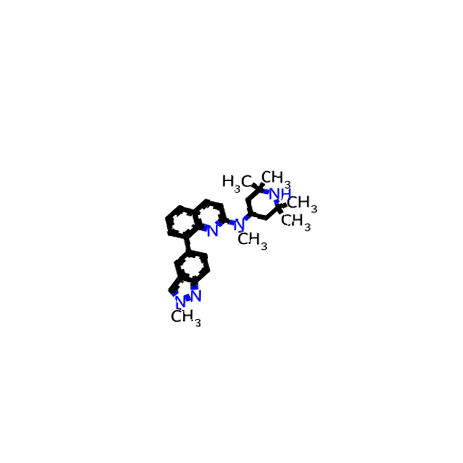 CN(c1ccc2cccc(-c3ccc4nn(C)cc4c3)c2n1)C1CC(C)(C)NC(C)(C)C1